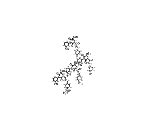 CCCCn1cc(C(=O)NCc2ccc(Br)cc2)c(=O)n(-c2cccc(C#N)c2)c1=O.CCCCn1cc(C(=O)NCc2ccc(C)cc2)c(=O)n(-c2cccc(C#N)c2)c1=O.CCCCn1cc(C(=O)NCc2ccc(F)cc2)c(=O)n(-c2cccc(C#N)c2)c1=O.CCCCn1cc(C(=O)NCc2ccc(S(C)(=O)=O)cc2)c(=O)n(-c2cccc(C#N)c2)c1=O